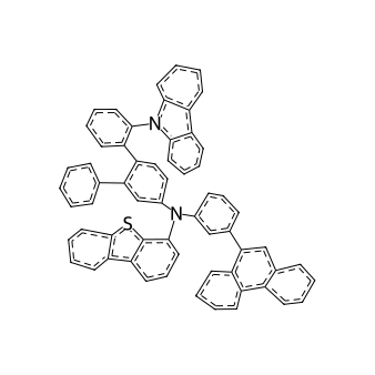 c1ccc(-c2cc(N(c3cccc(-c4cc5ccccc5c5ccccc45)c3)c3cccc4c3sc3ccccc34)ccc2-c2ccccc2-n2c3ccccc3c3ccccc32)cc1